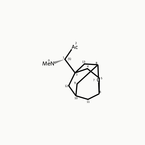 CN[C@H](C(C)=O)C12CCC3CC(CC(C3)C1)C2